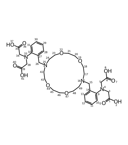 O=C(O)CN(CC(=O)O)c1ccccc1CN1CCOCCOCCN(Cc2ccccc2N(CC(=O)O)CC(=O)O)CCOCCOCC1